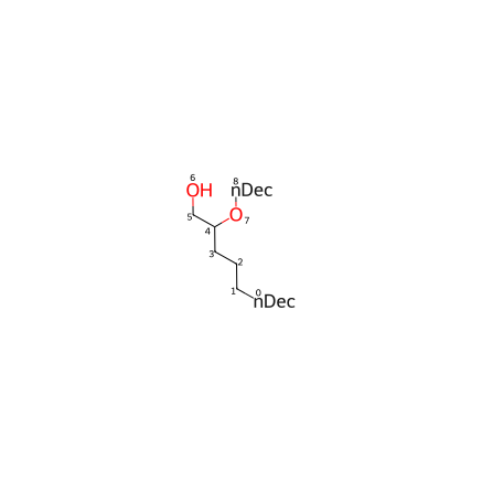 CCCCCCCCCCCCCC(CO)OCCCCCCCCCC